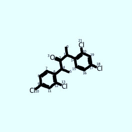 CC(C(=O)C(C)c1ccc(Cl)cc1Cl)c1ccc(Cl)cc1Cl